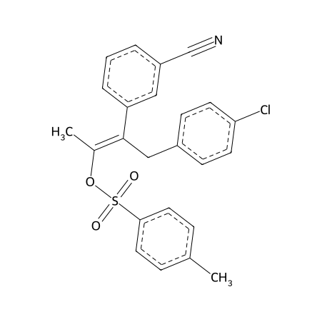 CC(OS(=O)(=O)c1ccc(C)cc1)=C(Cc1ccc(Cl)cc1)c1cccc(C#N)c1